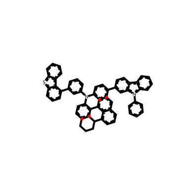 c1ccc(-n2c3ccccc3c3ccc(-c4ccc(N(c5cccc(-c6cccc7sc8ccccc8c67)c5)c5ccccc5-c5cccc6cccc(C7CCCCC7)c56)cc4)cc32)cc1